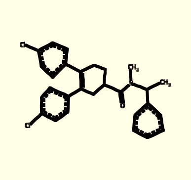 CC(c1ccccc1)N(C)C(=O)C1CCC(c2ccc(Cl)cc2)=C(c2ccc(Cl)cc2)C1